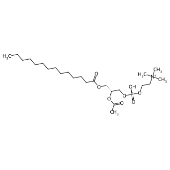 CCCCCCCCCCCCCC(=O)OC[C@H](COP(=O)(O)OCC[N+](C)(C)C)OC(C)=O